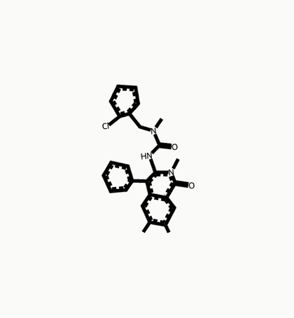 Cc1cc2c(-c3ccccc3)c(NC(=O)N(C)Cc3ccccc3Cl)n(C)c(=O)c2cc1C